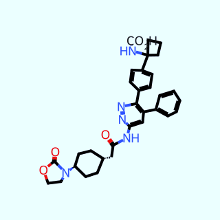 O=C(O)NC1(c2ccc(-c3nnc(NC(=O)C[C@H]4CC[C@H](N5CCOC5=O)CC4)cc3-c3ccccc3)cc2)CCC1